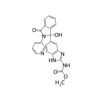 COC(=O)Nc1nc2cc(C3(O)c4ccccc4C(=O)N3c3cccnc3)ccc2[nH]1